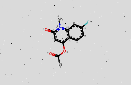 CCCn1c(=O)cc(OC(=O)CC)c2ccc(F)cc21